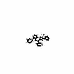 FC(F)(F)c1ccccc1-c1nc(C(Cc2cccnc2N2CCCCC2)c2cccnc2)no1